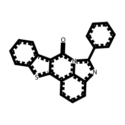 O=c1c2c3ccccc3sc2c2cccc3nc(-c4ccccc4)n1c32